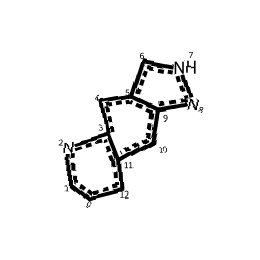 c1cnc2cc3c[nH]nc3cc2c1